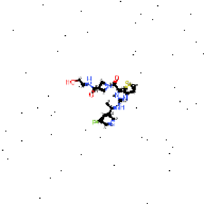 CC(Nc1nc(C(=O)N2CC(C(=O)NCCO)C2)c2sccc2n1)c1cncc(F)c1